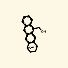 OCc1c2ccccc2cc2cc3c(cc12)C1CCC3SC1